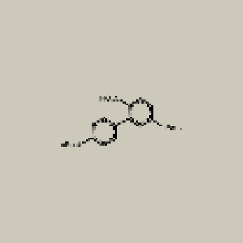 CCCCCc1ccc(-c2cc(CCCCC)ccc2C(=O)O)cc1